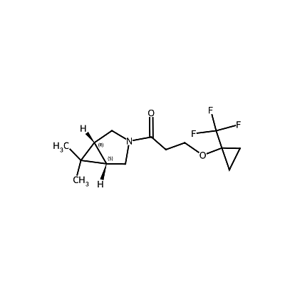 CC1(C)[C@@H]2CN(C(=O)CCOC3(C(F)(F)F)CC3)C[C@@H]21